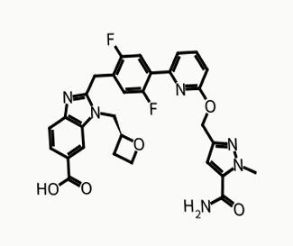 Cn1nc(COc2cccc(-c3cc(F)c(Cc4nc5ccc(C(=O)O)cc5n4C[C@@H]4CCO4)cc3F)n2)cc1C(N)=O